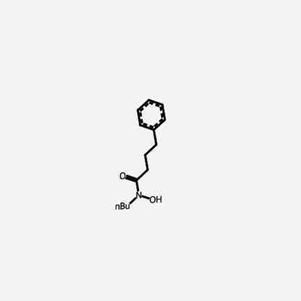 CCCCN(O)C(=O)CCCc1ccccc1